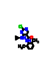 Cc1cccc(C)c1NC(=O)c1cnc(Cl)nc1NC1CC1